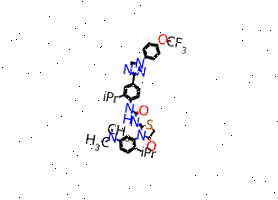 CC(C)c1cc(-c2ncn(-c3ccc(OC(F)(F)F)cc3)n2)ccc1NC(=O)/N=C1\SCC(=O)N1c1cc(N(C)C)ccc1C(C)C